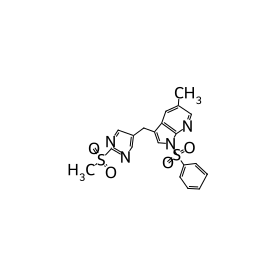 Cc1cnc2c(c1)c(Cc1cnc(S(C)(=O)=O)nc1)cn2S(=O)(=O)c1ccccc1